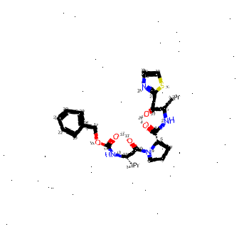 CC(C)C(NC(=O)[C@@H]1CCCN1C(=O)[C@@H](NC(=O)OCc1ccccc1)C(C)C)C(=O)c1nccs1